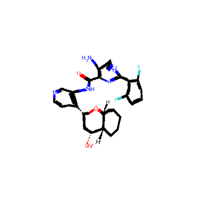 Nc1cnc(-c2c(F)cccc2F)nc1C(=O)Nc1cnccc1[C@H]1C[C@@H](O)[C@H]2CCCC[C@H]2O1